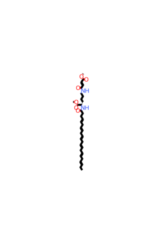 CCC=CCC=CCC=CCC=CCC=CCC=CCCC(=O)N[C@@H](CCCCNC(=O)C=CC(=O)OC)C(=O)OC